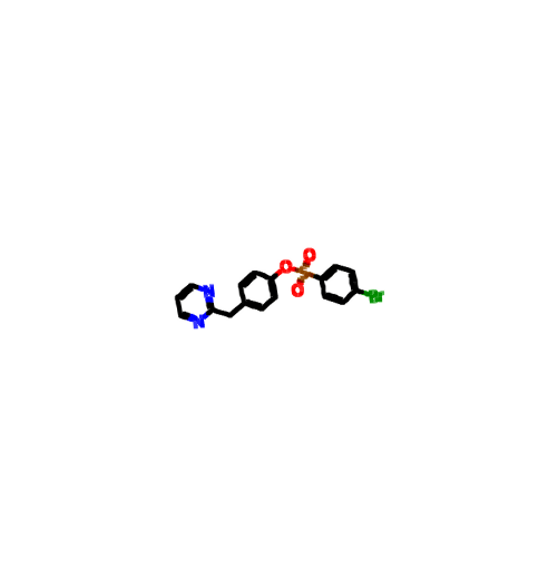 O=S(=O)(Oc1ccc(Cc2ncccn2)cc1)c1ccc(Br)cc1